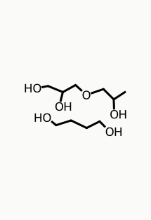 CC(O)COCC(O)CO.OCCCCO